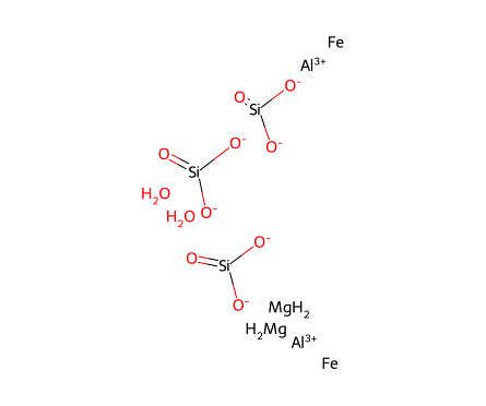 O.O.O=[Si]([O-])[O-].O=[Si]([O-])[O-].O=[Si]([O-])[O-].[Al+3].[Al+3].[Fe].[Fe].[MgH2].[MgH2]